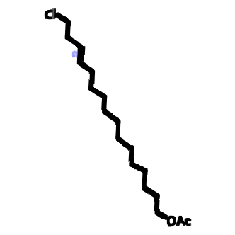 CC(=O)OCCCCCCCCCCCC/C=C/CCCl